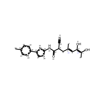 C/C(O)=C(O)\C=C(/C)CC(C#N)C(=O)Nc1nc(-c2ccc(C)cn2)cs1